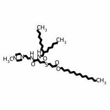 CCCCCCCCCCCCCOC(=O)CCSCCC(NC(=O)C(CCCCCC)CCCCCCCC)C(=O)NCCN1CCN(C)CC1